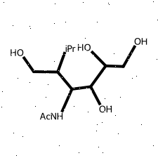 CC(=O)NC(C(O)C(O)CO)C(CO)C(C)C